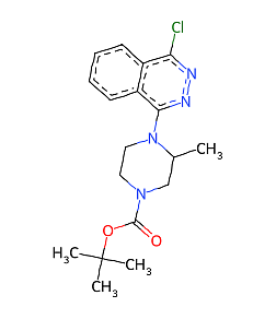 CC1CN(C(=O)OC(C)(C)C)CCN1c1nnc(Cl)c2ccccc12